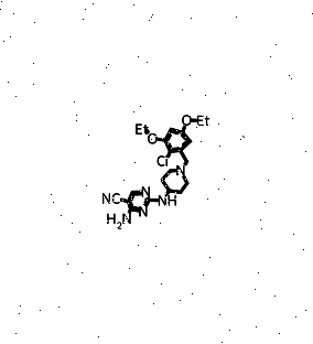 CCOc1cc(CN2CCC(Nc3ncc(C#N)c(N)n3)CC2)c(Cl)c(OCC)c1